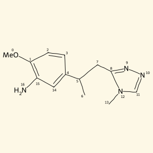 COc1ccc(C(C)Cc2nncn2C)cc1N